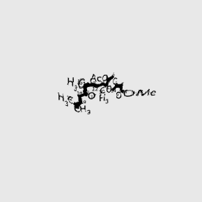 COC(=O)C=C1CC[C@@H](OC(C)=O)[C@](C)(CCCC(C)C(=O)CC=C(C)C)OC1